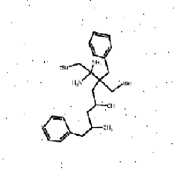 CC(Cc1ccccc1)CC(O)CC(Cc1ccccc1)(CC(C)(C)C)C(N)(N)CC(C)(C)C